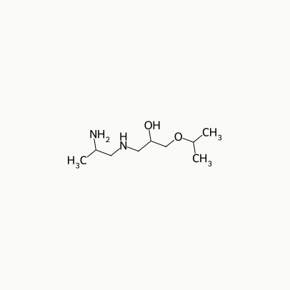 CC(N)CNCC(O)COC(C)C